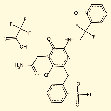 CCS(=O)(=O)c1ccccc1Cc1nc(NCC(F)(F)c2cccc[n+]2[O-])c(=O)n(CC(N)=O)c1Cl.O=C(O)C(F)(F)F